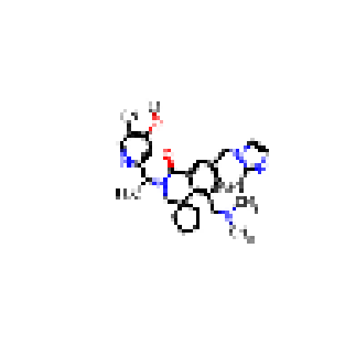 CCOc1cc([C@H](C)N2CC3(CCCC3)c3c(CN(C)C)cc(Cn4ccnc4NC)cc3C2=O)ncc1C#N